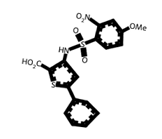 COc1ccc(S(=O)(=O)Nc2cc(-c3ccccc3)sc2C(=O)O)c([N+](=O)[O-])c1